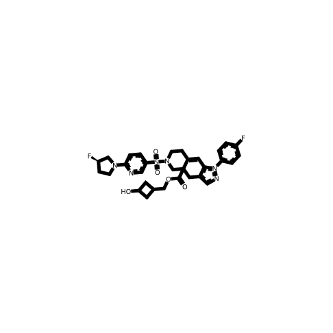 O=C(OCC1CC(O)C1)C12Cc3cnn(-c4ccc(F)cc4)c3C=C1CCN(S(=O)(=O)c1ccc(N3CC[C@@H](F)C3)nc1)C2